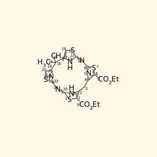 CCOC(=O)C1=C2Cc3nc(sc3C(=O)OCC)/N=C3\NC(=CS3)C(C)(C)c3csc(n3)/N=C(\N2)S1